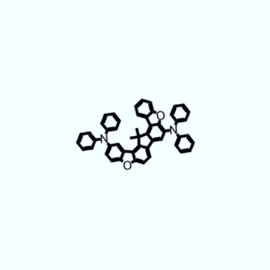 CC1(C)c2c(ccc3oc4ccc(N(c5ccccc5)c5ccccc5)cc4c23)-c2cc(N(c3ccccc3)c3ccccc3)c3oc4ccccc4c3c21